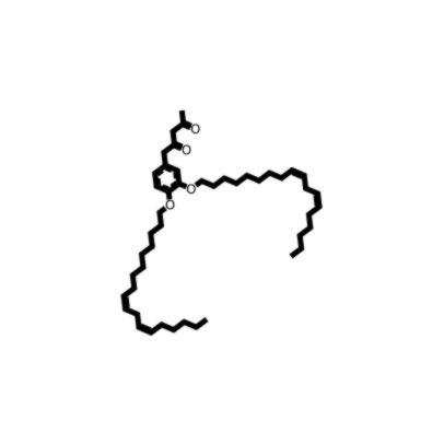 CCCCC/C=C\C/C=C\CCCCCCCCOc1ccc(CC(=O)CC(C)=O)cc1OCCCCCCCC/C=C\C/C=C\CCCCC